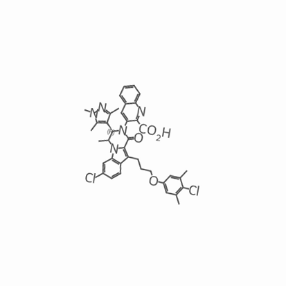 Cc1cc(OCCCc2c3n(c4cc(Cl)ccc24)C(C)[C@@H](c2c(C)nn(C)c2C)N(c2cc4ccccc4nc2C(=O)O)C3=O)cc(C)c1Cl